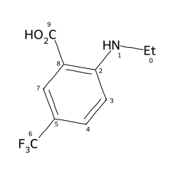 CCNc1ccc(C(F)(F)F)cc1C(=O)O